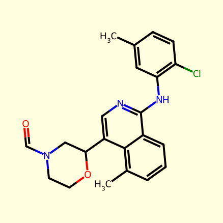 Cc1ccc(Cl)c(Nc2ncc(C3CN(C=O)CCO3)c3c(C)cccc23)c1